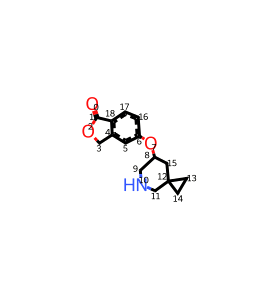 O=C1OCc2cc(OC3CNCC4(CC4)C3)ccc21